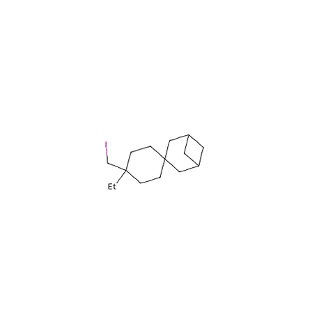 CCC1(CI)CCC2(CC1)CC1CC(C1)C2